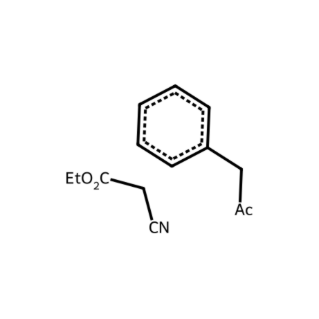 CC(=O)Cc1ccccc1.CCOC(=O)CC#N